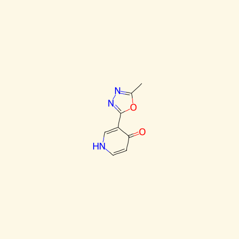 Cc1nnc(-c2c[nH]ccc2=O)o1